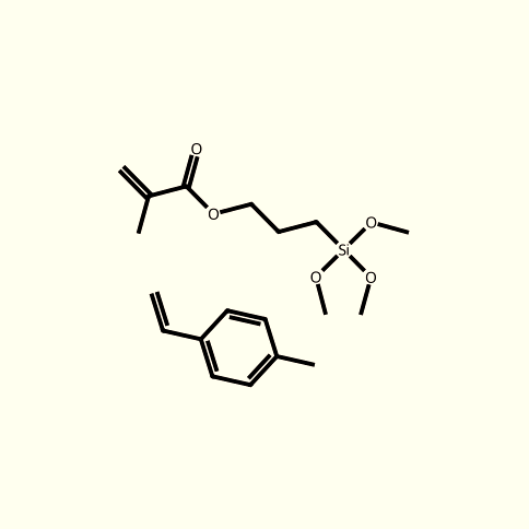 C=C(C)C(=O)OCCC[Si](OC)(OC)OC.C=Cc1ccc(C)cc1